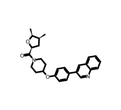 C[C@@H]1O[C@H](C(=O)N2CCC(Oc3ccc(-c4cnc5ccccc5c4)cc3)CC2)C[C@@H]1C